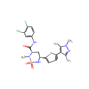 Cc1nn(C)c(C)c1-c1ccc([C@@H]2C[C@H](C(=O)Nc3ccc(F)c(Cl)c3)N(C)S(=O)(=O)N2)s1